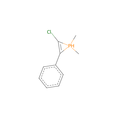 C[PH]1(C)C(Cl)=C1c1ccccc1